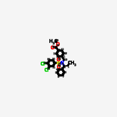 CC[C@@H](c1ccccc1)N(Cc1ccc(C(=O)OC)cc1)S(=O)(=O)c1ccc(Cl)c(Cl)c1